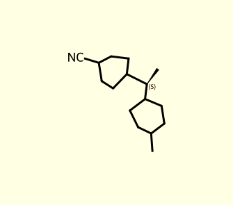 CC1CCC([C@H](C)C2CCC(C#N)CC2)CC1